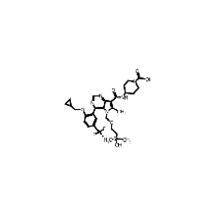 Cc1c(C(=O)NC2CCN(C(=O)O)CC2)c2ncnc(-c3cc(C(F)(F)F)ccc3OCC3CC3)c2n1COCC[Si](C)(C)C